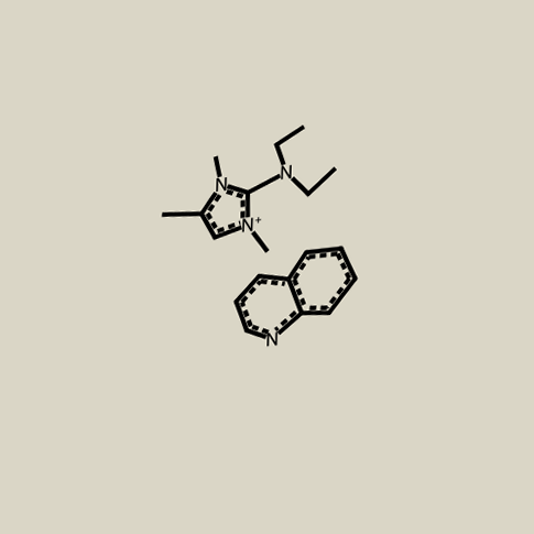 CCN(CC)c1n(C)c(C)c[n+]1C.c1ccc2ncccc2c1